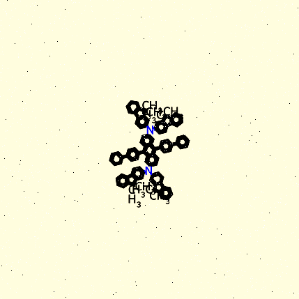 CC1(C)C2=C(C=CCC2)c2ccc(N(c3ccc4c(c3)C(C)(C)c3ccccc3-4)c3ccc4c(-c5ccc(C6=CC=CCC6)cc5)c5cc(N(C6=CCC7C(=C6)C(C)(C)c6ccccc67)c6ccc7c(c6)C(C)(C)c6ccccc6-7)ccc5c(-c5ccc(-c6ccccc6)cc5)c4c3)cc21